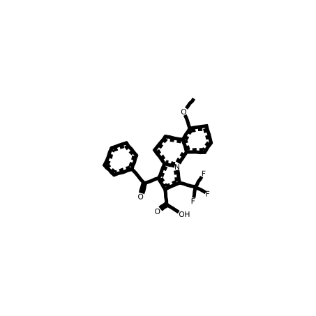 COc1cccc2c1ccc1c(C(=O)c3ccccc3)c(C(=O)O)c(C(F)(F)F)n12